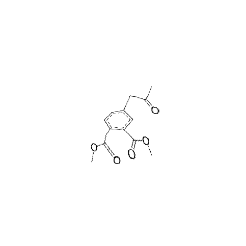 COC(=O)c1ccc(CC(C)=O)cc1C(=O)OC